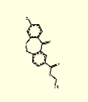 CCOC(=O)c1ccc2c(c1)C(=O)c1ccc(Cl)cc1OC2